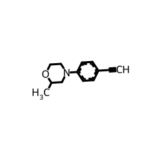 C#Cc1ccc(N2CCOC(C)C2)cc1